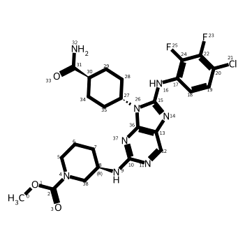 COC(=O)N1CCC[C@@H](Nc2ncc3nc(Nc4ccc(Cl)c(F)c4F)n([C@H]4CC[C@H](C(N)=O)CC4)c3n2)C1